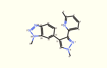 Cc1cccc(-c2nn(C)cc2-c2ccc3nnn(C)c3c2)n1